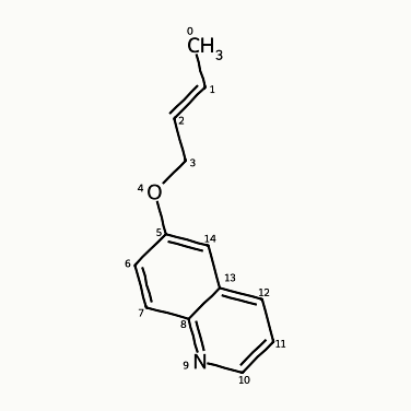 CC=CCOc1ccc2ncccc2c1